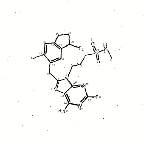 CNS(=O)(=O)CCCn1c(Cc2cc3c(cc2C)CCC3F)nc2c(N)nc(F)nc21